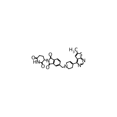 Cc1cc2c(C3=CCN(Cc4ccc5c(c4)C(=O)N(C4CCC(=O)NC4=O)C5=O)CC3)ncnc2s1